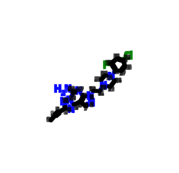 CC#Cc1nc2c3cnn(CCN4CCN(c5ccc(Cl)cc5F)CC4)c3nc(N)n2n1